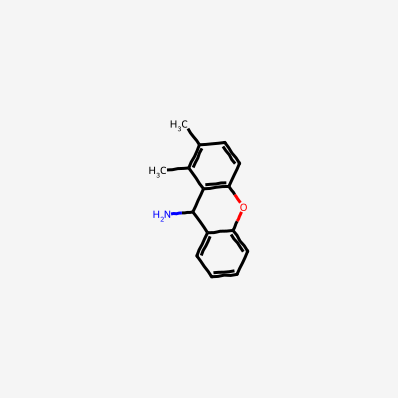 Cc1ccc2c(c1C)C(N)c1ccccc1O2